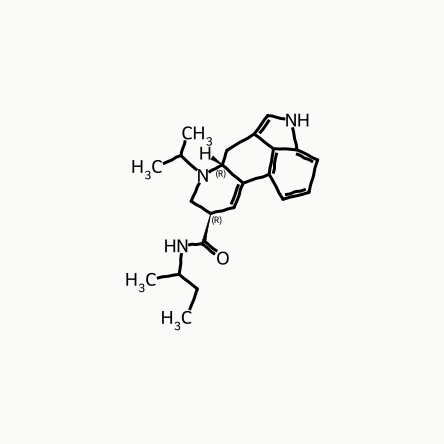 CCC(C)NC(=O)[C@@H]1C=C2c3cccc4[nH]cc(c34)C[C@H]2N(C(C)C)C1